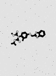 COC(=O)N(C(=O)OC(C)C)c1ccc(OCc2nc3ccccc3s2)cc1C